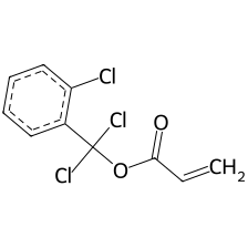 C=CC(=O)OC(Cl)(Cl)c1ccccc1Cl